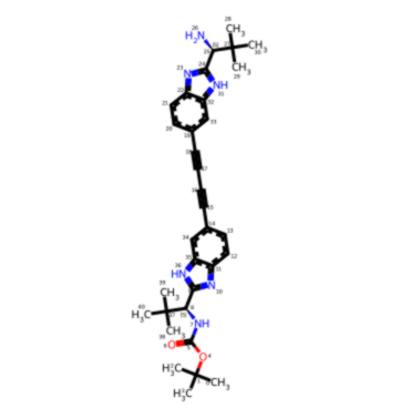 CC(C)(C)OC(=O)N[C@H](c1nc2ccc(C#CC#Cc3ccc4nc([C@@H](N)C(C)(C)C)[nH]c4c3)cc2[nH]1)C(C)(C)C